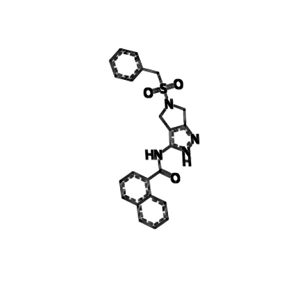 O=C(Nc1[nH]nc2c1CN(S(=O)(=O)Cc1ccccc1)C2)c1cccc2ccccc12